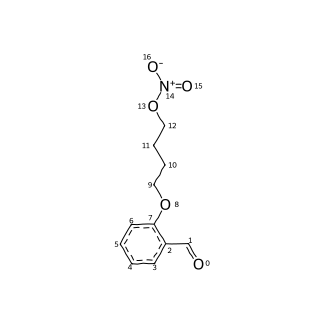 O=Cc1ccccc1OCCCCO[N+](=O)[O-]